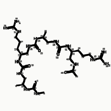 CNC(=S)N[C@@H](C)CNC(=O)N[C@@H](CCCNC(=N)N)CNC(=O)N[C@@H](C)CNC(=O)N[C@@H](CCCNC(=N)N)CNC(C)=O